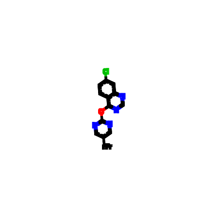 CCCc1cnc(Oc2ncnc3cc(Cl)ccc23)nc1